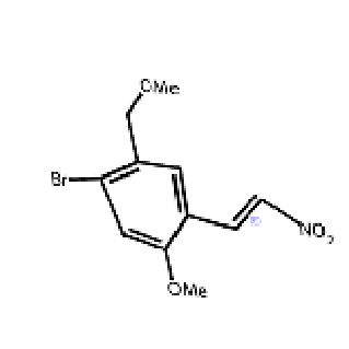 COCc1cc(/C=C/[N+](=O)[O-])c(OC)cc1Br